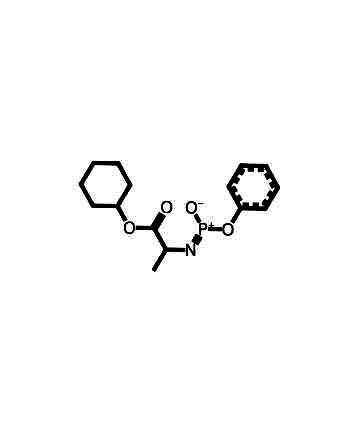 CC(N=[P+]([O-])Oc1ccccc1)C(=O)OC1CCCCC1